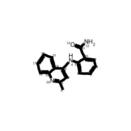 Cc1cc(Nc2ccccc2C(N)=O)c2ccccc2n1